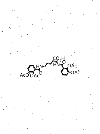 CC(=O)Oc1cccc(C(=O)NCCCC[C@H](NC(=O)c2cccc(OC(C)=O)c2OC(C)=O)C(=O)O)c1OC(C)=O